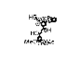 CCCOc1c(OCc2ccccc2)cc(C(O)CCC(O)c2cc(OC)c(OC)c(OC)c2)cc1S(=O)(=O)CCO